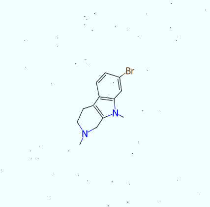 CN1CCc2c(n(C)c3cc(Br)ccc23)C1